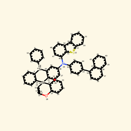 c1ccc([SiH]2c3ccccc3[Si]3(c4ccccc4Oc4ccccc43)c3ccc(N(c4ccc(-c5cccc6ccccc56)cc4)c4cccc5c4sc4ccccc45)cc32)cc1